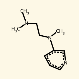 CN(C)CCN(C)c1[c]nccc1